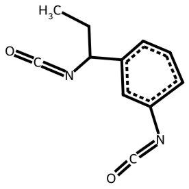 CCC(N=C=O)c1cccc(N=C=O)c1